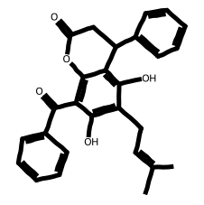 CC(C)=CCc1c(O)c(C(=O)c2ccccc2)c2c(c1O)C(c1ccccc1)CC(=O)O2